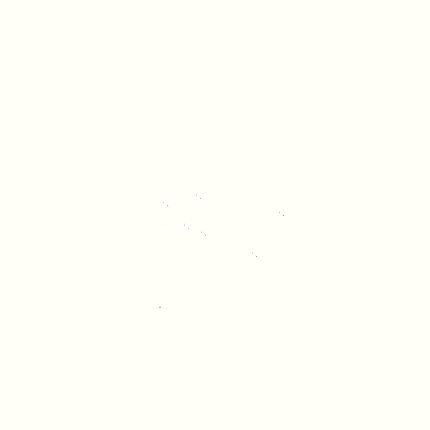 COc1ncc(-c2cnc3ncc(C#CC(C)(C)O)n3n2)cc1NS(=O)(=O)c1ccc(F)cc1